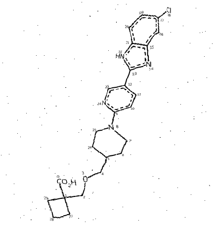 O=C(O)C1(COCC2CCN(c3ccc(-c4nc5cc(Cl)ccc5[nH]4)cn3)CC2)CCC1